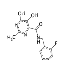 Cc1nc(O)c(O)c(C(=O)NCc2ccccc2F)n1